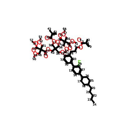 C=C(C)C(=O)OCCCc1cc(-c2ccc(C3CCC(CCCCC)CC3)cc2F)ccc1OCC(COC(=O)C(=C)C)(COC(=O)C(COC)(COC)C(=O)OC)COC(=O)C(COC)(COC)C(=O)OC